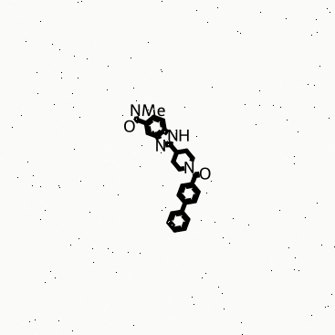 CNC(=O)c1ccc2[nH]c(C3CCN(C(=O)c4ccc(-c5ccccc5)cc4)CC3)nc2c1